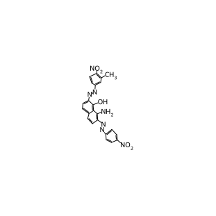 Cc1cc(N=Nc2ccc3ccc(N=Nc4ccc([N+](=O)[O-])cc4)c(N)c3c2O)ccc1[N+](=O)[O-]